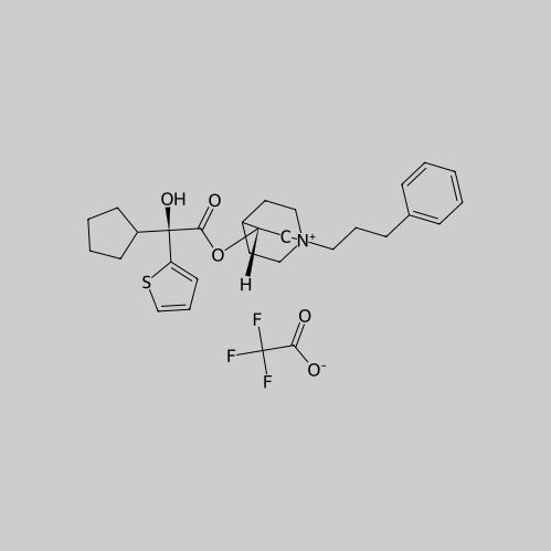 O=C(O[C@H]1C[N+]2(CCCc3ccccc3)CCC1CC2)[C@](O)(c1cccs1)C1CCCC1.O=C([O-])C(F)(F)F